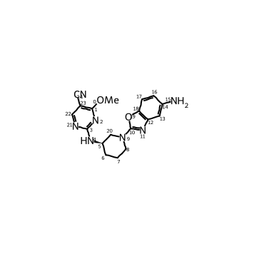 COc1nc(N[C@@H]2CCCN(c3nc4cc(N)ccc4o3)C2)ncc1C#N